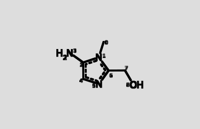 Cn1c(N)cnc1CO